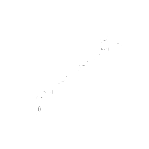 CC(C)C(C)NC(=O)CCOCCOCCOCCOCCNC(=O)COC1C#CCCCCC1